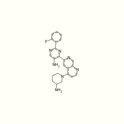 Nc1cnc(-c2ccccc2F)nc1-c1cc2c(N3CCCC(N)C3)ccnc2cn1